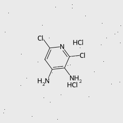 Cl.Cl.Nc1cc(Cl)nc(Cl)c1N